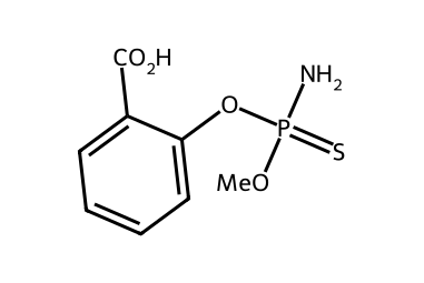 COP(N)(=S)Oc1ccccc1C(=O)O